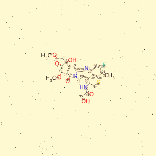 COCC[C@@](O)(C=O)c1cc2n(c(=O)c1COC)Cc1c-2nc2cc(F)c(C)c3c2c1C(NC(=O)CO)CS3